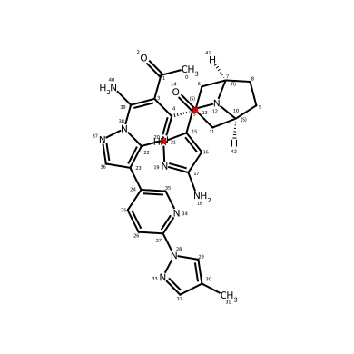 CC(=O)c1c([C@@H]2C[C@H]3CC[C@@H](C2)N3C(=O)c2cc(N)n[nH]2)nc2c(-c3ccc(-n4cc(C)cn4)nc3)cnn2c1N